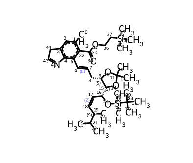 Cc1cc2c(c(/C=C/C[C@@H]3OC(C)(C)O[C@@H]3C(/C=C\[C@@H](C)C(C)C)O[Si](C)(C)C(C)(C)C)c1C(=O)OCC[Si](C)(C)C)N=CC2